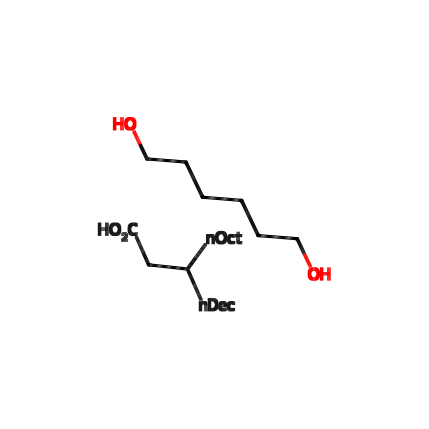 CCCCCCCCCCC(CCCCCCCC)CC(=O)O.OCCCCCCO